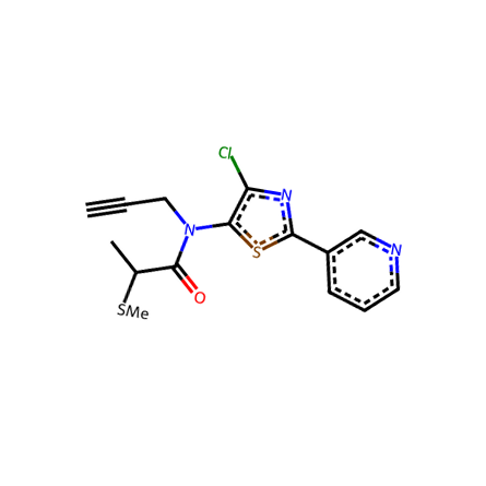 C#CCN(C(=O)C(C)SC)c1sc(-c2cccnc2)nc1Cl